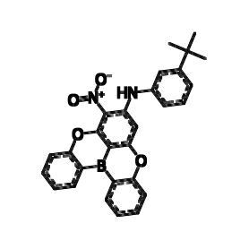 CC(C)(C)c1cccc(Nc2cc3c4c(c2[N+](=O)[O-])Oc2ccccc2B4c2ccccc2O3)c1